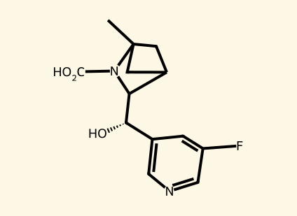 CC12CC(C1)C([C@@H](O)c1cncc(F)c1)N2C(=O)O